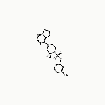 N#Cc1cccc(CS(=O)(=O)N2CCN(c3ncnc4[nH]ccc34)CC23CC3)c1